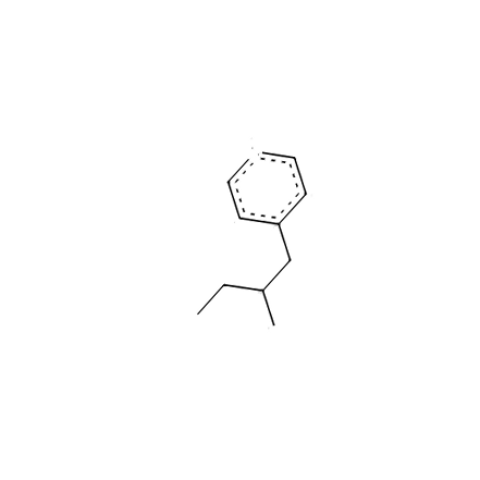 CCC(C)Cc1ccncc1